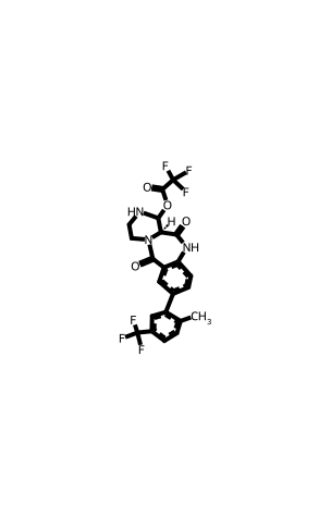 Cc1ccc(C(F)(F)F)cc1-c1ccc2c(c1)C(=O)N1CCNC(OC(=O)C(F)(F)F)[C@H]1C(=O)N2